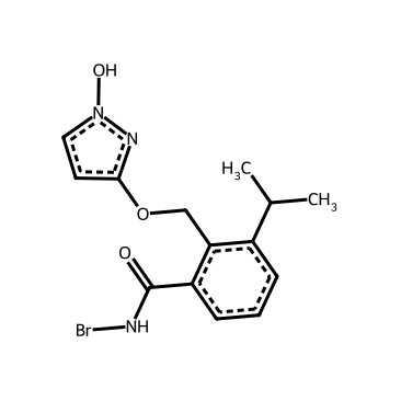 CC(C)c1cccc(C(=O)NBr)c1COc1ccn(O)n1